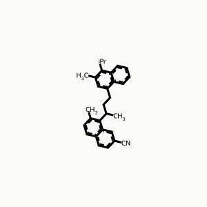 Cc1ccc2ccc(C#N)cc2c1C(C)CCc1cc(C)c(C(C)C)c2ccccc12